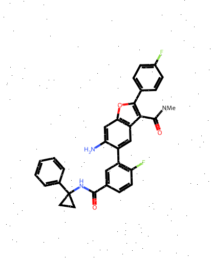 CNC(=O)c1c(-c2ccc(F)cc2)oc2cc(N)c(-c3cc(C(=O)NC4(c5ccccc5)CC4)ccc3F)cc12